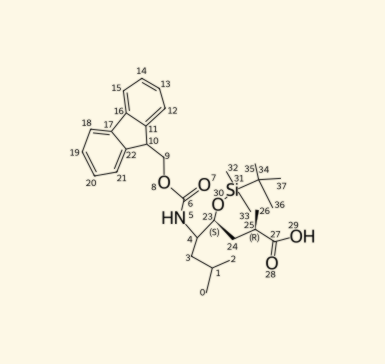 CC(C)CC(NC(=O)OCC1c2ccccc2-c2ccccc21)[C@H](C[C@@H](C)C(=O)O)O[Si](C)(C)C(C)(C)C